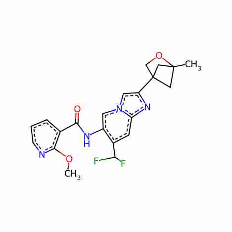 COc1ncccc1C(=O)Nc1cn2cc(C34COC(C)(C3)C4)nc2cc1C(F)F